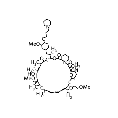 COCCOC1C[C@@H]2CC[C@@H](C)[C@@](O)(O2)C(=O)C(=O)N2CCCCC2C(=O)O[C@H]([C@H](C)C[C@@H]2CC[C@@H](OCCCN3CCCCC3)[C@H](OC)C2)CC(=O)[C@H](C)/C=C(\C)[C@@H](O)[C@@H](OC)C(=O)[C@H](C)C[C@H](C)/C=C/C=C/C=C/1C